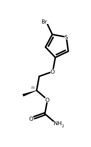 C[C@@H](COc1csc(Br)c1)OC(N)=O